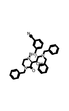 BN1CCN(Cc2ccccc2)C(=O)[C@@H]1[C@@H](O)[C@H](Cc1cccc(C#N)c1)N(Cc1ccccc1)Cc1ccccc1